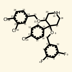 Fc1cc(F)cc(COC2(c3ccc(Cl)cc3)CCNCC2OCc2ccc(Cl)c(Cl)c2)c1